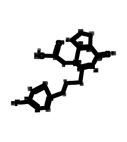 O=C(O)Cn1c(CCCc2ccc(F)cc2)nc(=O)c2c1CCC2